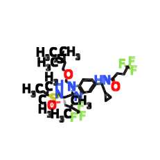 CC(C)(C)[S@@+]([O-])N[C@@H](CC(C)(C)C(F)(F)F)c1nc2cc(C(NC(=O)CCC(F)(F)F)C3CC3)ccc2n1COCC[Si](C)(C)C